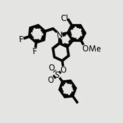 COc1ccc(Cl)c2c1c1c(n2Cc2ccc(F)c(F)c2)CCC(OS(=O)(=O)c2ccc(C)cc2)C1